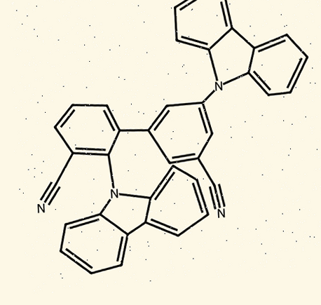 N#Cc1cc(-c2cccc(C#N)c2-n2c3ccccc3c3ccccc32)cc(-n2c3ccccc3c3ccccc32)c1